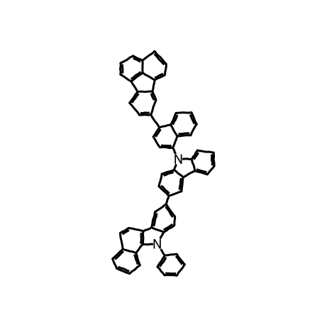 c1ccc(-n2c3ccc(-c4ccc5c(c4)c4ccccc4n5-c4ccc(-c5ccc6c(c5)-c5cccc7cccc-6c57)c5ccccc45)cc3c3ccc4ccccc4c32)cc1